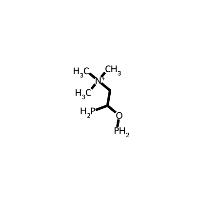 C[N+](C)(C)CC(P)OP